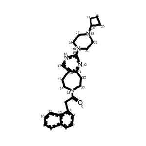 O=C(Cc1cccc2ccccc12)N1CCc2cnc(N3CCN(C4CCC4)CC3)nc2CC1